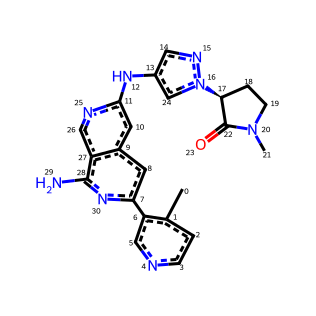 Cc1ccncc1-c1cc2cc(Nc3cnn([C@H]4CCN(C)C4=O)c3)ncc2c(N)n1